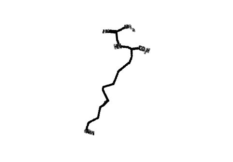 CCCCCCCCCCCCCCCCCC(NC(=N)N)C(=O)O